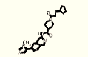 Cn1cncc1-c1ccc2cnc(NC(=O)C3CCN(C(=O)CC=C4CCCC4)CC3)cc2c1